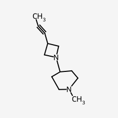 CC#CC1CN(C2CCN(C)CC2)C1